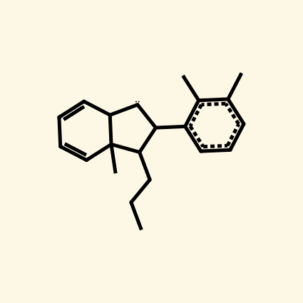 CCCC1C(c2cccc(C)c2C)[C]C2C=CC=CC21C